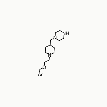 CC(=O)COCCN1CCC(CN2CCNCC2)CC1